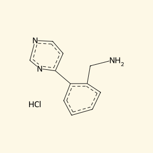 Cl.NCc1ccccc1-c1ccncn1